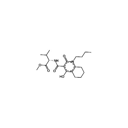 CCCCn1c2c(c(O)c(C(=O)N[C@H](C(=O)OC)C(C)C)c1=O)CCCC2